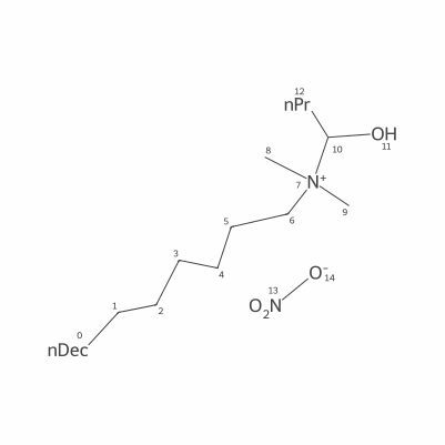 CCCCCCCCCCCCCCCC[N+](C)(C)C(O)CCC.O=[N+]([O-])[O-]